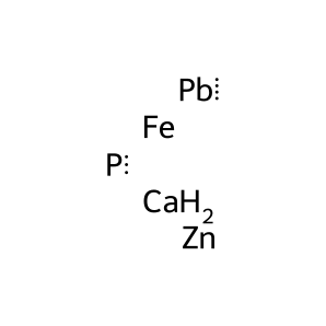 [CaH2].[Fe].[P].[Pb].[Zn]